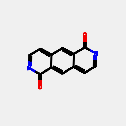 O=C1N=CC=c2cc3c(cc21)=CC=NC3=O